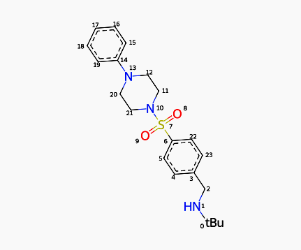 CC(C)(C)NCc1ccc(S(=O)(=O)N2CCN(c3ccccc3)CC2)cc1